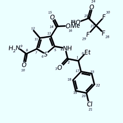 CCC(C(=O)Nc1sc(C(N)=O)c(C)c1C(=O)OC)c1ccc(Cl)cc1.O=C(O)C(F)(F)F